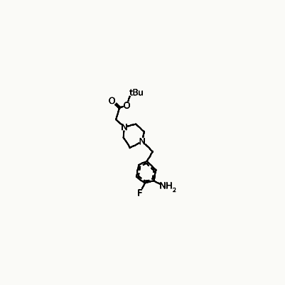 CC(C)(C)OC(=O)CN1CCN(Cc2ccc(F)c(N)c2)CC1